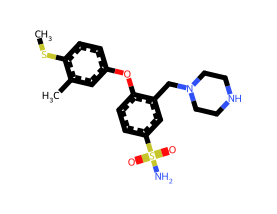 CSc1ccc(Oc2ccc(S(N)(=O)=O)cc2CN2CCNCC2)cc1C